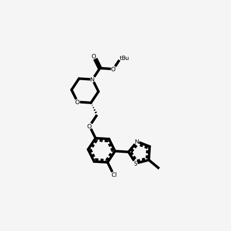 Cc1cnc(-c2cc(OC[C@H]3CN(C(=O)OC(C)(C)C)CCO3)ccc2Cl)s1